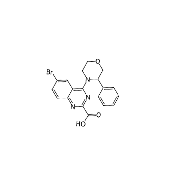 O=C(O)c1nc(N2CCOCC2c2ccccc2)c2cc(Br)ccc2n1